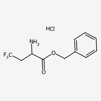 Cl.NC(CC(F)(F)F)C(=O)OCc1ccccc1